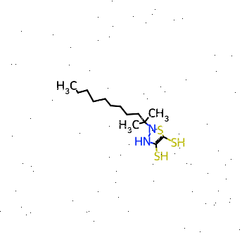 CCCCCCCCCC(C)(C)N1NC(S)=C(S)S1